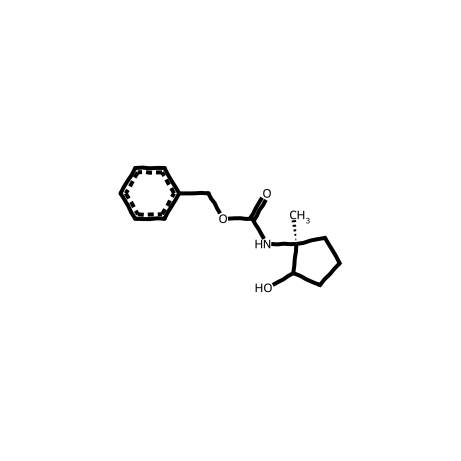 C[C@]1(NC(=O)OCc2ccccc2)CCCC1O